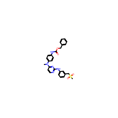 CN(c1ccc(NC(=O)OCc2ccccc2)cc1)c1ccnc(Nc2cccc(CS(C)(=O)=O)c2)n1